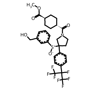 COC(=O)[C@H]1CC[C@H](C(=O)N2CCC(c3ccc(C(F)(C(F)(F)F)C(F)(F)F)cc3)([S+]([O-])c3cccc(CO)c3)C2)CC1